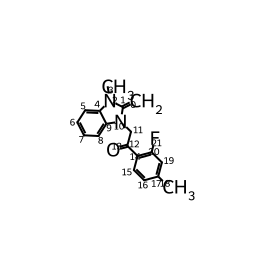 C=C1N(C)c2ccccc2N1CC(=O)c1ccc(C)cc1F